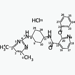 Cc1cc(C)nc(NC2CCC(NC(=O)c3cccnc3Oc3ccccc3)CC2)n1.Cl